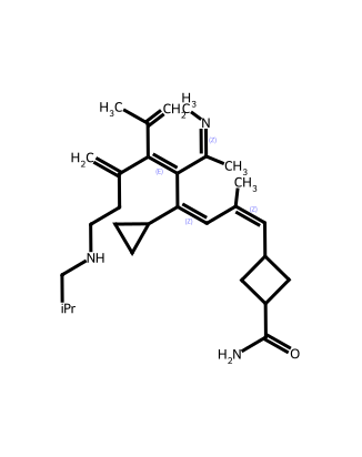 C=C(C)/C(C(=C)CCNCC(C)C)=C(C(=C\C(C)=C/C1CC(C(N)=O)C1)/C1CC1)\C(C)=N/C